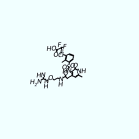 Cc1cc(CC(=O)NCCONC(=N)N)c(NS(=O)(=O)c2cccc(Cl)c2C)c(=O)[nH]1.O=C(O)C(F)(F)F